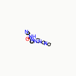 O=C(Nc1ccncc1)c1cccc(N2CCCN(C3CCN(C4CCCC4)CC3)CC2)n1